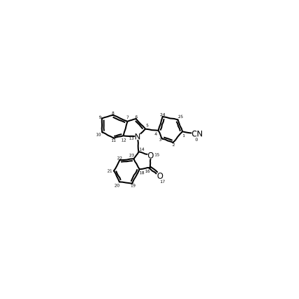 N#Cc1ccc(-c2cc3ccccc3n2C2OC(=O)c3ccccc32)cc1